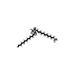 CCCCCCCCCCCC(=O)ON(C)S(=O)(=O)CCCCCCCCCCCN(C)C